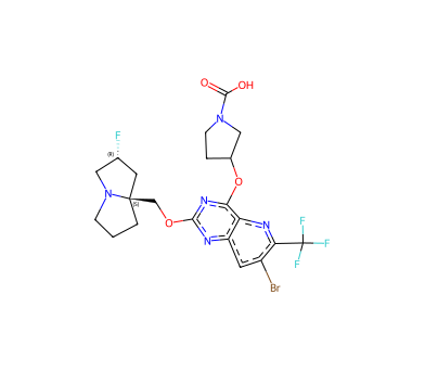 O=C(O)N1CCC(Oc2nc(OC[C@@]34CCCN3C[C@H](F)C4)nc3cc(Br)c(C(F)(F)F)nc23)C1